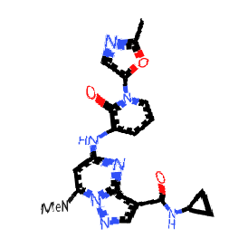 CNc1cc(Nc2cccn(-c3cnc(C)o3)c2=O)nc2c(C(=O)NC3CC3)cnn12